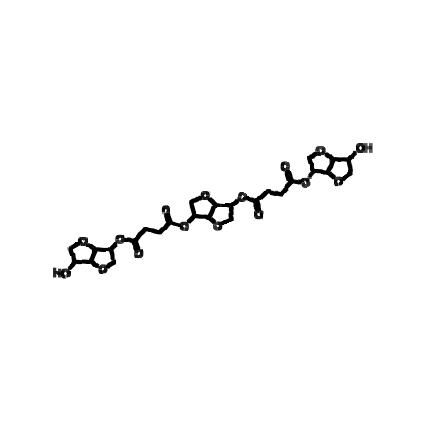 O=C(CCC(=O)OC1COC2C(OC(=O)CCC(=O)OC3COC4C(O)COC34)COC12)OC1COC2C(O)COC12